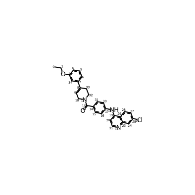 CCOc1cccc(C2=CCN(C(=O)c3ccc(Nc4ccnc5cc(Cl)ccc45)cc3)CC2)c1